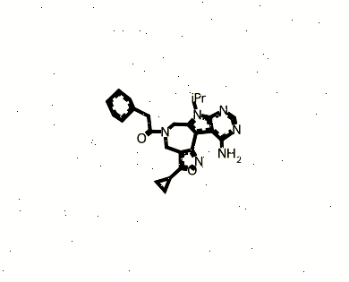 CC(C)n1c2c(c3c(N)ncnc31)-c1noc(C3CC3)c1CN(C(=O)Cc1ccccc1)C2